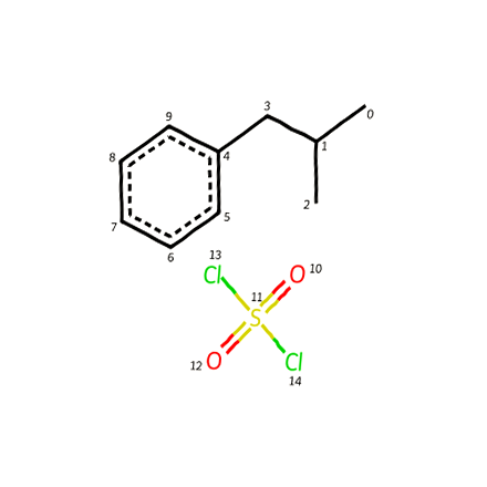 CC(C)Cc1ccccc1.O=S(=O)(Cl)Cl